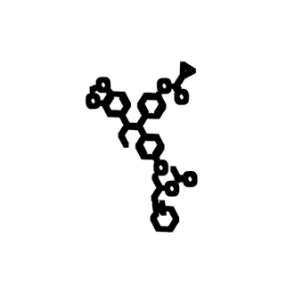 CCC(=C(c1ccc(OCC(CN2CCCCC2)OC(C)=O)cc1)c1ccc(OC(=O)C2CC2)cc1)c1ccc2c(c1)OCO2